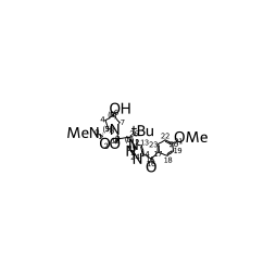 CNC(=O)[C@@H]1C[C@@H](O)CN1C(=O)[C@@H](n1cc(C(=O)c2ccc(OC)cc2)nn1)C(C)(C)C